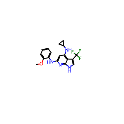 COc1c[c]ccc1Nc1cc(NC2CC2)c2c(C(F)(F)F)c[nH]c2n1